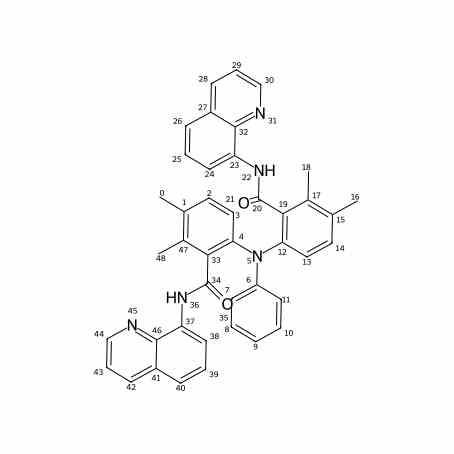 Cc1ccc(N(c2ccccc2)c2ccc(C)c(C)c2C(=O)Nc2cccc3cccnc23)c(C(=O)Nc2cccc3cccnc23)c1C